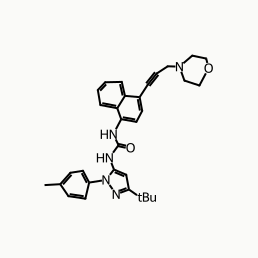 Cc1ccc(-n2nc(C(C)(C)C)cc2NC(=O)Nc2ccc(C#CCN3CCOCC3)c3ccccc23)cc1